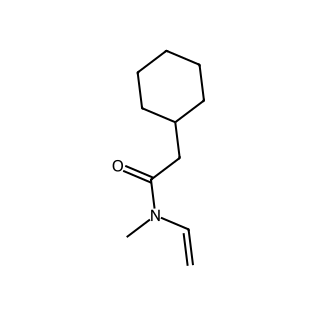 C=CN(C)C(=O)CC1CCCCC1